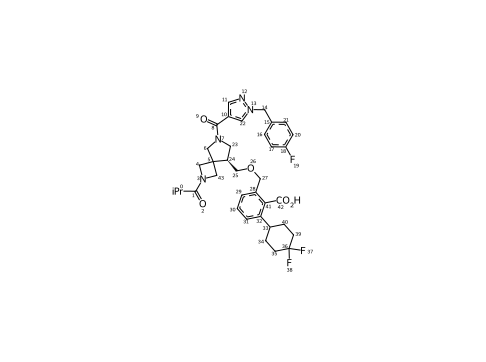 CC(C)C(=O)N1CC2(CN(C(=O)c3cnn(Cc4ccc(F)cc4)c3)C[C@H]2COCc2cccc(C3CCC(F)(F)CC3)c2C(=O)O)C1